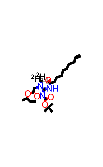 [2H]C([2H])([2H])N(CC(=O)OC(C)C=C)C(=NC(=O)OC(C)(C)C)NC(=O)CCCCCCCC=C